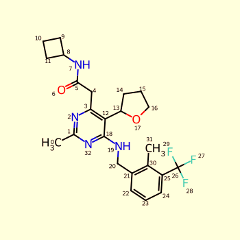 Cc1nc(CC(=O)NC2CCC2)c(C2CCCO2)c(NCc2cccc(C(F)(F)F)c2C)n1